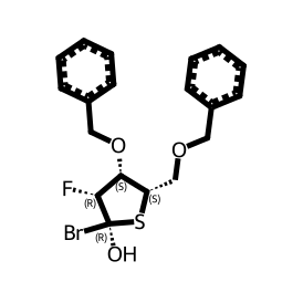 O[C@@]1(Br)S[C@@H](COCc2ccccc2)[C@@H](OCc2ccccc2)[C@H]1F